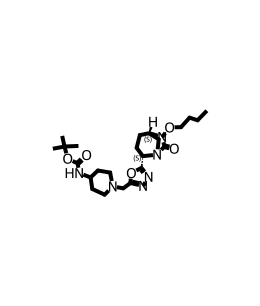 CCCCON1C(=O)N2C[C@@H]1CC[C@H]2c1nnc(CN2CCC(NC(=O)OC(C)(C)C)CC2)o1